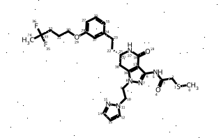 CSCC(=O)Nc1nn(CCn2cccn2)c2c1C(=O)N[C@@H](CCc1cccc(OCCCC(C)(F)F)c1)C2